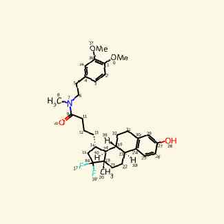 COc1ccc(CCN(C)C(=O)CCC[C@H]2CC(F)(F)[C@@]3(C)CC[C@@H]4c5ccc(O)cc5CC[C@H]4[C@H]23)cc1OC